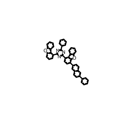 c1ccc(-c2ccc3cc(-c4ccc(-c5nc(-c6ccccc6)nc(-c6cccc7oc8ccccc8c67)n5)c5c4oc4ccccc45)ccc3c2)cc1